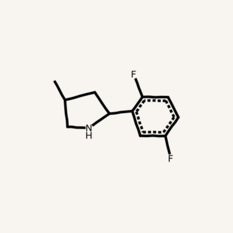 CC1CNC(c2cc(F)ccc2F)C1